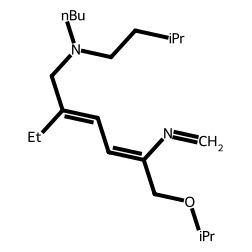 C=N/C(=C\C=C(/CC)CN(CCCC)CCC(C)C)COC(C)C